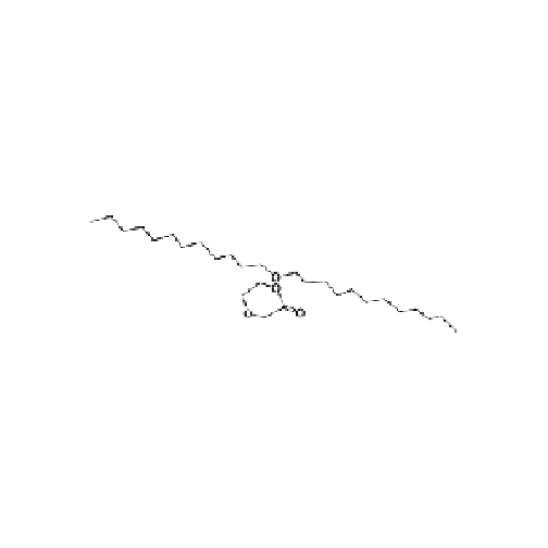 CCCCCCCCCCCCOCCCCCCCCCCCC.O=C1COCCO1